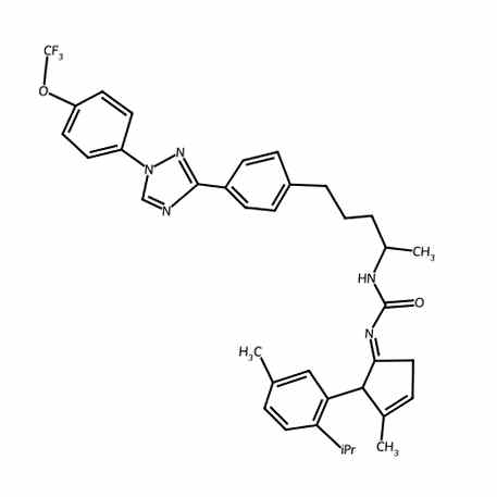 CC1=CC/C(=N\C(=O)NC(C)CCCc2ccc(-c3ncn(-c4ccc(OC(F)(F)F)cc4)n3)cc2)C1c1cc(C)ccc1C(C)C